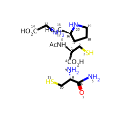 CC(=O)N[C@@H](CS)C(=O)O.NC(=O)[C@@H](N)CS.NCC(=O)O.O=C(O)[C@@H]1CCCN1